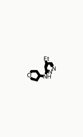 CCc1cnnc(NC2CCOCC2)c1